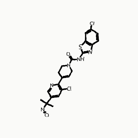 CC(C)(N=O)c1cnc(C2=CCN(C(=O)Nc3nc4ccc(Cl)cc4s3)CC2)c(Cl)c1